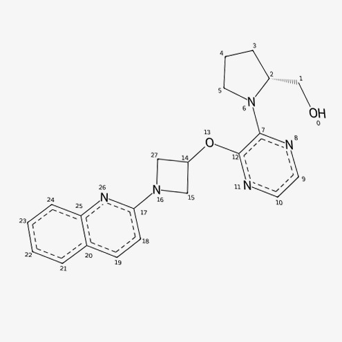 OC[C@H]1CCCN1c1nccnc1OC1CN(c2ccc3ccccc3n2)C1